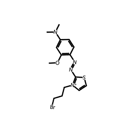 COc1cc(N(C)C)ccc1N=Nc1scc[n+]1CCCBr